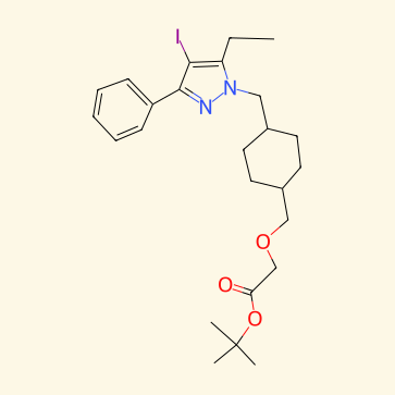 CCc1c(I)c(-c2ccccc2)nn1CC1CCC(COCC(=O)OC(C)(C)C)CC1